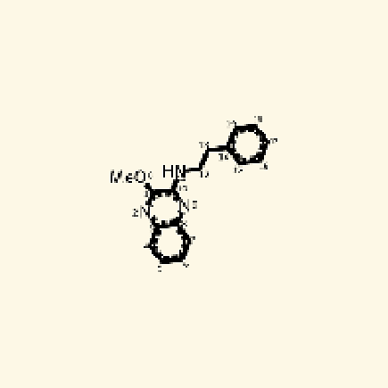 COc1nc2ccccc2nc1NCCc1ccccc1